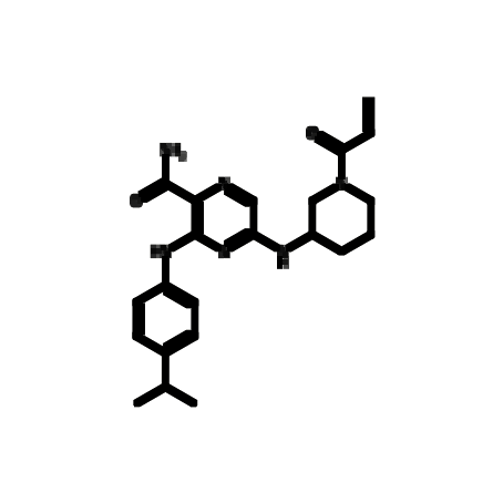 C=CC(=O)N1CCCC(Nc2cnc(C(N)=O)c(Nc3ccc(C(C)C)cc3)n2)C1